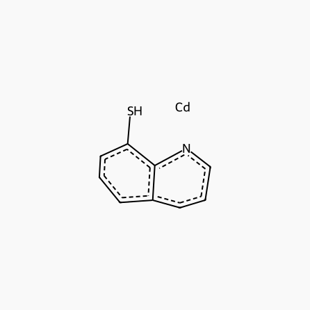 Sc1cccc2cccnc12.[Cd]